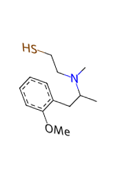 COc1ccccc1CC(C)N(C)CCS